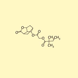 CCC(C)(C)C(=O)OCC(=O)OC1C2CC3OC(=O)C(C2)C31